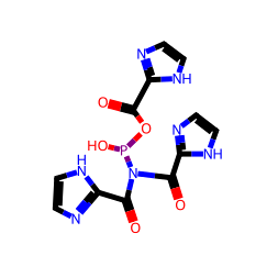 O=C(OP(O)N(C(=O)c1ncc[nH]1)C(=O)c1ncc[nH]1)c1ncc[nH]1